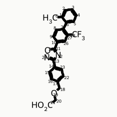 Cc1ccccc1-c1ccc(-c2nc(-c3ccc(COCC(=O)O)cc3)no2)cc1C(F)(F)F